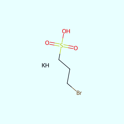 O=S(=O)(O)CCCBr.[KH]